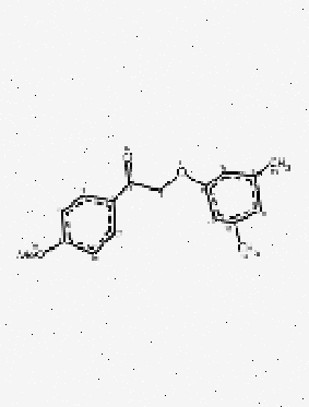 COc1ccc(C(=O)COc2cc(C)cc(C)c2)cc1